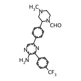 CN1CCN(C=O)C(c2ccc(-c3cnc(N)c(-c4ccc(C(F)(F)F)cc4)n3)cc2)C1